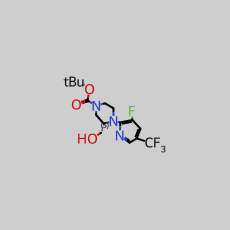 CC(C)(C)OC(=O)N1CCN(c2ncc(C(F)(F)F)cc2F)[C@H](CO)C1